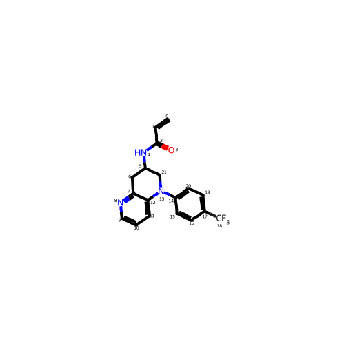 C=CC(=O)NC1Cc2ncccc2N(c2ccc(C(F)(F)F)cc2)C1